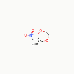 C=CC1(C[N+](=O)[O-])COCCOC1